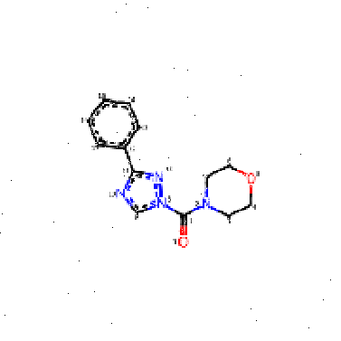 O=C(N1CCOCC1)n1cnc(-c2ccccc2)n1